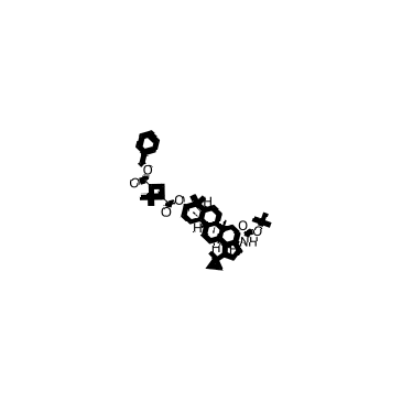 CC(C)(C)OC(=O)N[C@]12CCC(C3(C)CC3)[C@@H]1[C@H]1CC[C@@H]3[C@@]4(C)CC[C@H](OC(=O)[C@H]5C[C@@H](C(=O)OCc6ccccc6)C5(C)C)C(C)(C)[C@@H]4CC[C@@]3(C)[C@]1(C)CC2